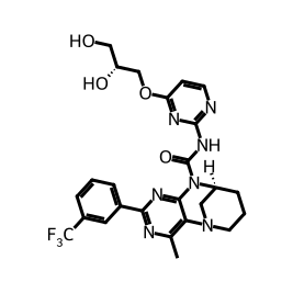 Cc1nc(-c2cccc(C(F)(F)F)c2)nc2c1N1CCC[C@@H](C1)N2C(=O)Nc1nccc(OC[C@H](O)CO)n1